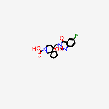 O=C(O)N1CCC(O)(Cn2cnc3ccc(F)cc3c2=O)C2(CCCC2)C1